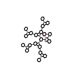 c1ccc(-c2ccccc2-c2nc(-c3cc(-n4c5ccc(-c6ccc7c(c6)c6ccccc6n7-c6ccccc6)cc5c5cc(-c6ccc7c(c6)c6ccccc6n7-c6ccccc6)ccc54)cc(-n4c5ccc(-c6ccc7c(c6)c6ccccc6n7-c6ccccc6)cc5c5cc(-c6ccc7c(c6)c6ccccc6n7-c6ccccc6)ccc54)c3)nc3ccccc23)cc1